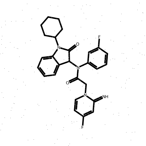 N=c1cc(F)ccn1CC(=O)N(c1cccc(F)c1)C1C(=O)N(C2CCCCC2)c2ccccc21